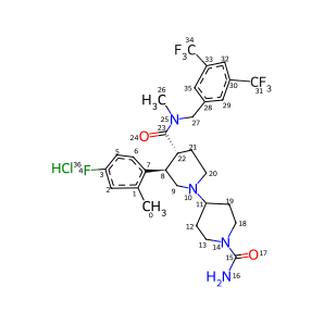 Cc1cc(F)ccc1[C@@H]1CN(C2CCN(C(N)=O)CC2)CC[C@H]1C(=O)N(C)Cc1cc(C(F)(F)F)cc(C(F)(F)F)c1.Cl